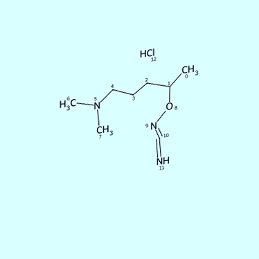 CC(CCCN(C)C)ON=C=N.Cl